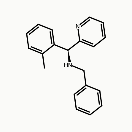 Cc1ccccc1[C@H](NCc1ccccc1)c1ccccn1